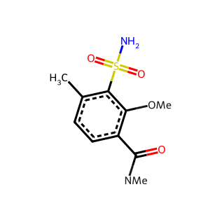 CNC(=O)c1ccc(C)c(S(N)(=O)=O)c1OC